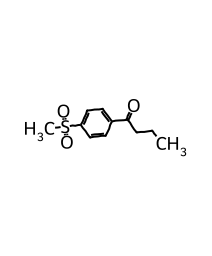 CCCC(=O)c1ccc(S(C)(=O)=O)cc1